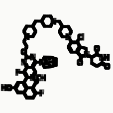 C#Cc1c(F)ccc2cc(O)cc(-c3ncc4c(N5CC6CCC(C5)N6)nc(OCCN5CCC(CC6CCN(CC7CCN(c8ccc9c(c8Cl)CN(C8CCC(=O)NC8=O)C9=O)CC7)CC6)CC5)nc4c3F)c12